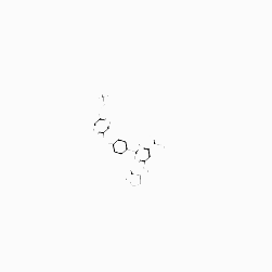 NC(=O)c1cc(N[C@H]2CCNC2=O)nc(-c2ccc(Oc3cnc(OCC(F)(F)F)cn3)cc2)n1